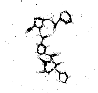 N#Cc1ccc(OC(=O)c2ccccc2)nc1OC(=O)c1cccc(C(=O)n2c(=O)c(F)cn(C3CCCO3)c2=O)c1